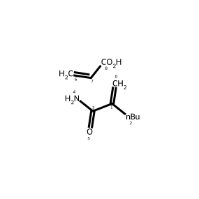 C=C(CCCC)C(N)=O.C=CC(=O)O